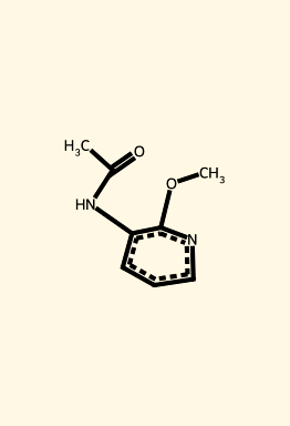 COc1ncccc1NC(C)=O